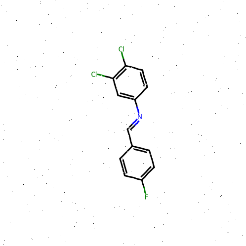 Fc1ccc(C=Nc2ccc(Cl)c(Cl)c2)cc1